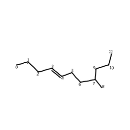 C[CH]CC=CCCC(C)CCC